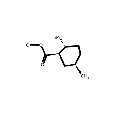 CC(C)[C@@H]1CC[C@@H](C)C[C@H]1C(=O)OCl